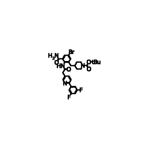 CC(C)(C)OC(=O)N1CCC(Cc2cc(Br)cc(C(N)=O)c2NC(=O)Cc2ccc(-c3cc(F)cc(F)c3)nc2)CC1